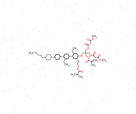 C=C(C)C(=O)OCCCc1cc(-c2ccc(-c3ccc(C4CCC(CCCCC)CC4)cc3)c(CC)c2)c(CC)cc1OCC(COC(=O)CC(=O)OC)(COC(=O)CC(=O)OC)COC(=O)C(=C)C